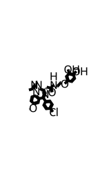 COc1ccc2c(c1)C(c1ccc(Cl)cc1)=N[C@@H](CC(=O)NCCOc1ccc(O)c(O)c1)c1nnc(C)n1-2